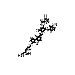 Cc1c(COc2cc(OCc3cncc(C#N)c3)c(CN(C)C(C)c3nnn[nH]3)cc2Cl)cccc1-c1cccc(OCCCNC[C@H](O)CO)c1C